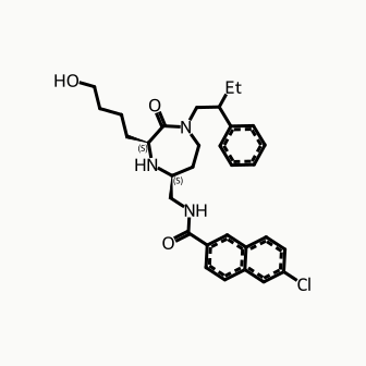 CCC(CN1CC[C@@H](CNC(=O)c2ccc3cc(Cl)ccc3c2)N[C@@H](CCCCO)C1=O)c1ccccc1